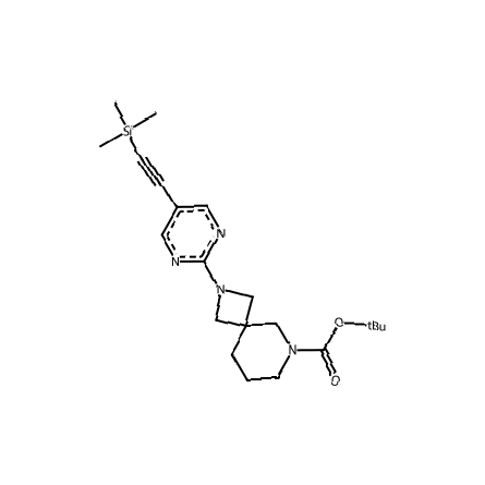 CC(C)(C)OC(=O)N1CCCC2(C1)CN(c1ncc(C#C[Si](C)(C)C)cn1)C2